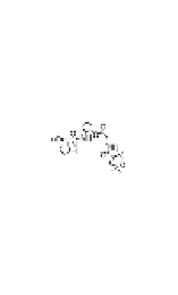 CCCCCCCCCCC1(NC(=O)NC2CCCC2OC(=O)CCNC(=O)C2OC(C)(C)OCC2(C)C)CCCC1